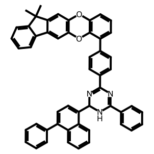 CC1(C)c2ccccc2-c2cc3c(cc21)Oc1cccc(-c2ccc(C4=NC(c5ccc(-c6ccccc6)c6ccccc56)NC(c5ccccc5)=N4)cc2)c1O3